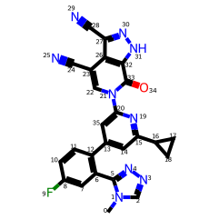 Cn1cnnc1-c1cc(F)ccc1-c1cc(C2CC2)nc(-n2cc(C#N)c3c(C#N)n[nH]c3c2=O)c1